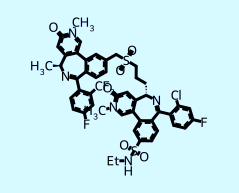 CCNS(=O)(=O)c1ccc2c(c1)-c1cn(C)c(=O)cc1[C@H](CCCS(=O)(=O)Cc1ccc3c(c1)-c1cn(C)c(=O)cc1[C@H](C)N=C3c1ccc(F)cc1C(F)(F)F)N=C2c1ccc(F)cc1Cl